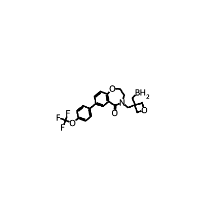 BCC1(CN2CCOc3ccc(-c4ccc(OC(F)(F)F)cc4)cc3C2=O)COC1